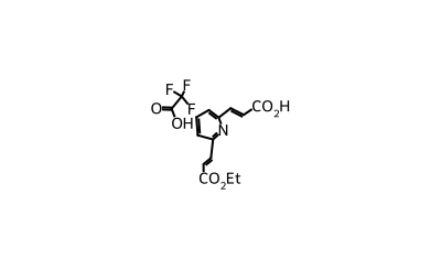 CCOC(=O)C=Cc1cccc(C=CC(=O)O)n1.O=C(O)C(F)(F)F